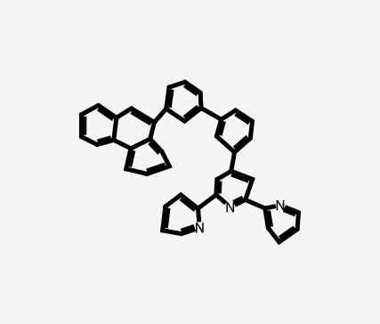 c1ccc(-c2cc(-c3cccc(-c4cccc(-c5cc6ccccc6c6ccccc56)c4)c3)cc(-c3ccccn3)n2)nc1